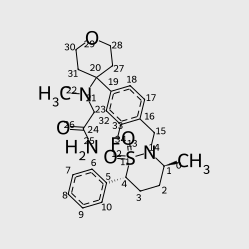 C[C@H]1CC[C@H](c2ccccc2)S(=O)(=O)N1Cc1ccc(C2(N(C)CC(N)=O)CCOCC2)cc1F